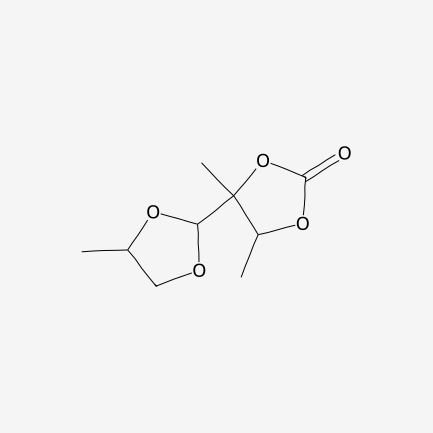 CC1COC(C2(C)OC(=O)OC2C)O1